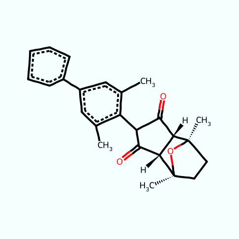 Cc1cc(-c2ccccc2)cc(C)c1C1C(=O)[C@@H]2[C@H](C1=O)[C@@]1(C)CC[C@]2(C)O1